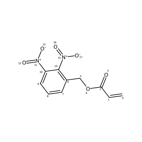 C=CC(=O)OCc1cccc([N+](=O)[O-])c1[N+](=O)[O-]